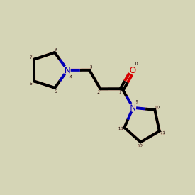 O=C(CCN1CCCC1)N1CCCC1